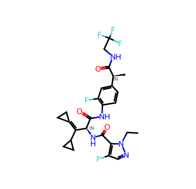 CCn1ncc(F)c1C(=O)N[C@H](C(=O)Nc1ccc([C@H](C)C(=O)NCC(F)(F)F)cc1F)C(=C1CC1)C1CC1